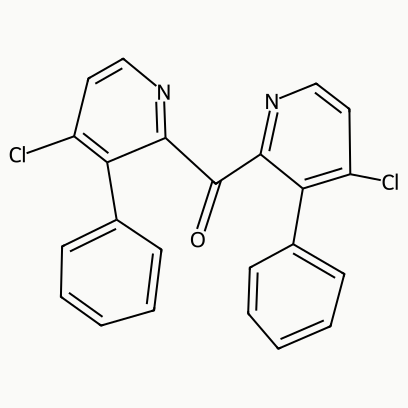 O=C(c1nccc(Cl)c1-c1ccccc1)c1nccc(Cl)c1-c1ccccc1